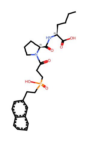 CCCC[C@H](NC(=O)[C@@H]1CCCN1C(=O)CCP(=O)(O)CCc1ccc2ccccc2c1)C(=O)O